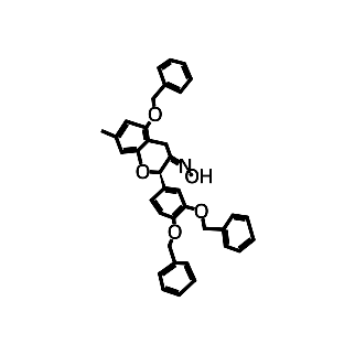 Cc1cc(OCc2ccccc2)c2c(c1)O[C@H](c1ccc(OCc3ccccc3)c(OCc3ccccc3)c1)/C(=N\O)C2